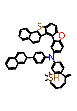 C=C1/C=C\C=C/[SH](C)(C)(C)c2cc(N(c3ccc(C4C=c5ccccc5=CC4)cc3)c3ccc4oc5ccc6sc7c8ccccc8ccc7c6c5c4c3)ccc21